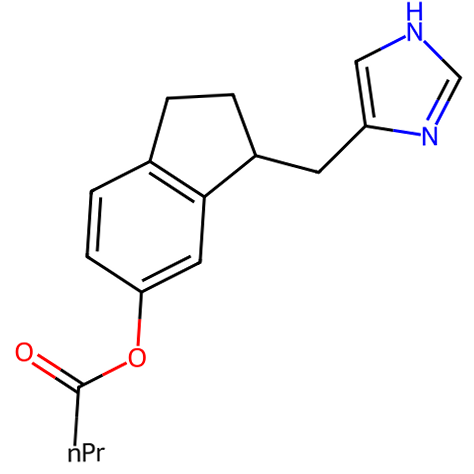 CCCC(=O)Oc1ccc2c(c1)C(Cc1c[nH]cn1)CC2